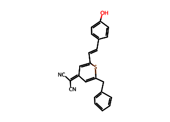 N#CC(C#N)=C1C=C(C=Cc2ccc(O)cc2)SC(Cc2ccccc2)=C1